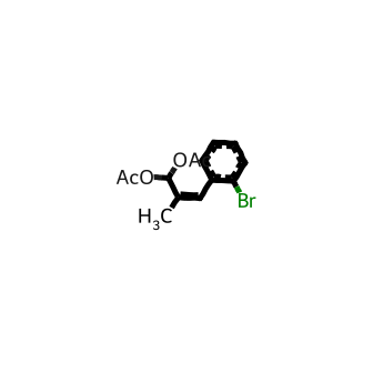 CC(=O)OC(OC(C)=O)C(C)=Cc1ccccc1Br